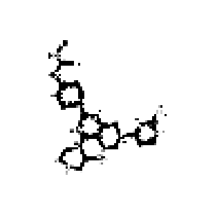 CCNC(=O)Nc1ccc(-c2nc3c(c(N4CCOCC4C)n2)CCN(c2ccnc(C(F)(F)F)n2)C3)cc1